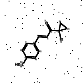 CCC1(C(=O)C=Cc2ccc(C(=O)O)cc2)CC1